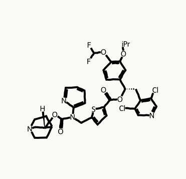 CC(C)Oc1cc([C@H](Cc2c(Cl)cncc2Cl)OC(=O)c2ccc(CN(C(=O)O[C@H]3CN4CCC3CC4)c3ccccn3)s2)ccc1OC(F)F